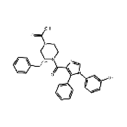 O=C(O)N1CCN(C(=O)c2ncn(-c3cccc(O)c3)c2-c2ccccc2)[C@H](Cc2ccccc2)C1